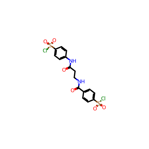 O=C(CCNC(=O)c1ccc(S(=O)(=O)Cl)cc1)Nc1ccc(S(=O)(=O)Cl)cc1